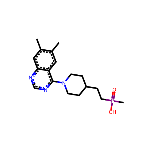 Cc1cc2ncnc(N3CCC(CCP(C)(=O)O)CC3)c2cc1C